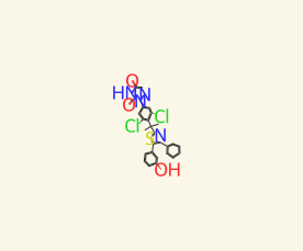 CC(C)(c1nc(-c2ccccc2)c(-c2cccc(O)c2)s1)c1c(Cl)cc(-n2ncc(=O)[nH]c2=O)cc1Cl